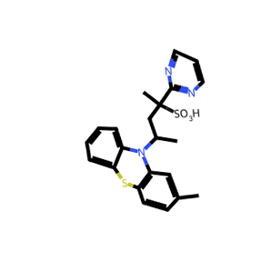 Cc1ccc2c(c1)N(C(C)CC(C)(c1ncccn1)S(=O)(=O)O)c1ccccc1S2